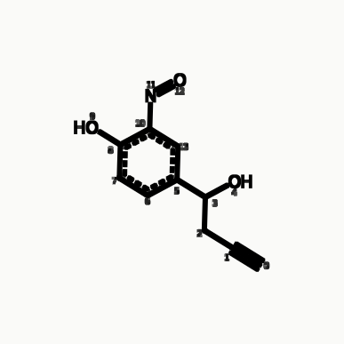 C#CCC(O)c1ccc(O)c(N=O)c1